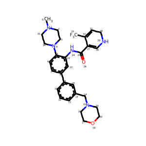 CN1CCN(c2ccc(-c3cccc(CN4CCOCC4)c3)cc2NC(=O)C2=CNCC=C2C(F)(F)F)CC1